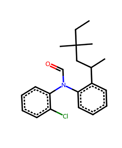 CCC(C)(C)CC(C)c1ccccc1N(C=O)c1ccccc1Cl